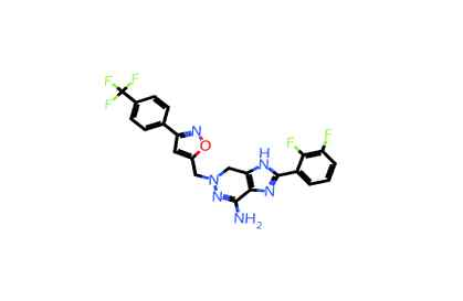 NC1=NN(Cc2cc(-c3ccc(C(F)(F)F)cc3)no2)Cc2[nH]c(-c3cccc(F)c3F)nc21